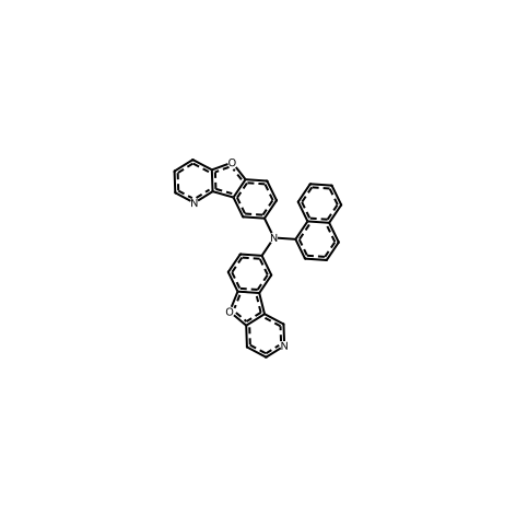 c1ccc2c(N(c3ccc4oc5ccncc5c4c3)c3ccc4oc5cccnc5c4c3)cccc2c1